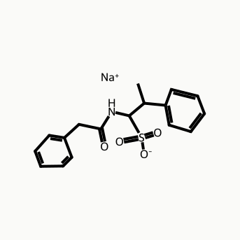 CC(c1ccccc1)C(NC(=O)Cc1ccccc1)S(=O)(=O)[O-].[Na+]